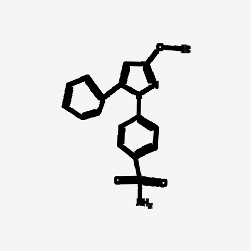 CCOc1cc(-c2ccccc2)n(-c2ccc(S(N)(=O)=O)cc2)n1